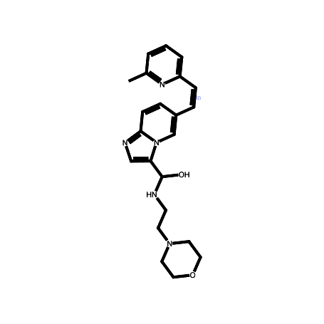 Cc1cccc(/C=C\c2ccc3ncc(C(O)NCCN4CCOCC4)n3c2)n1